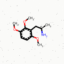 COc1ccc(OC)c(OC)c1C[C@@H](C)N